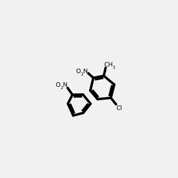 Cc1cc(Cl)ccc1[N+](=O)[O-].O=[N+]([O-])c1ccccc1